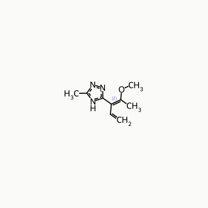 C=C/C(=C(\C)OC)c1nnc(C)[nH]1